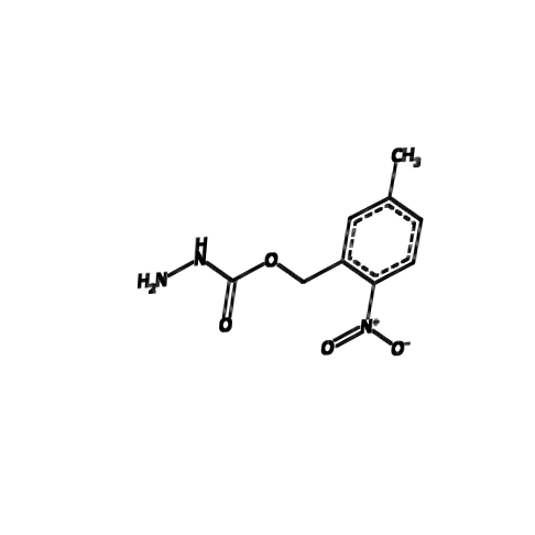 Cc1ccc([N+](=O)[O-])c(COC(=O)NN)c1